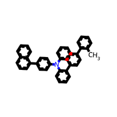 Cc1ccccc1-c1ccc(-c2ccccc2N(c2ccccc2)c2ccc(-c3cccc4ccccc34)cc2)cc1